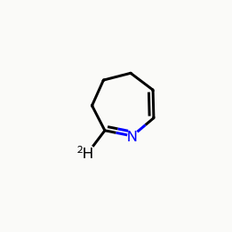 [2H]C1=NC=CCCC1